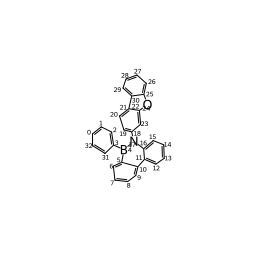 c1ccc(B2c3ccccc3-c3ccccc3N2c2ccc3c(c2)oc2ccccc23)cc1